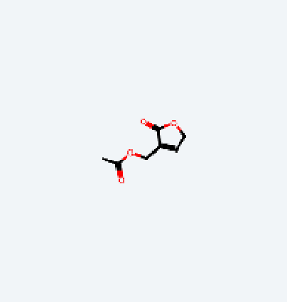 CC(=O)OCC1=CCOC1=O